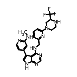 CNc1cc(-c2c[nH]c3ncnc(NCc4cccc(N5CCNC(C(F)(F)F)C5)n4)c23)ccn1